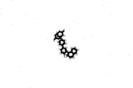 CC1CC2CC(C)CC(c3ccc(-c4ccc5oc6ccc7ccccc7c6c5c4)cc3)(C1)C2